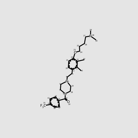 Cc1c(CCN2CCN(C(=O)c3ccc(C(F)(F)F)cc3)CC2)ccc(OCCCCN(C)C)c1C